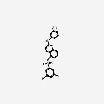 Cc1cccc(Nc2ccc3c(NS(=O)(=O)c4cc(F)cc(F)c4)cccc3n2)c1